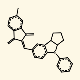 C=C1C(=Cc2ccc3c(c2)C2CCCC2N3c2ccccc2)C(=C)c2cc(C)ccc21